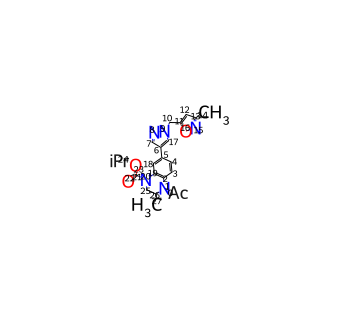 CC(=O)N1c2ccc(-c3cnn(Cc4cc(C)no4)c3)cc2N(C(=O)OC(C)C)CC1C